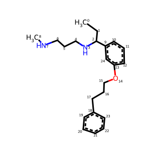 CCC(NCCCNC)c1cccc(OCCCc2ccccc2)c1